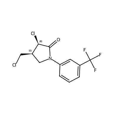 O=C1[C@H](Cl)[C@H](CCl)CN1c1cccc(C(F)(F)F)c1